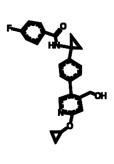 O=C(NC1(c2ccc(-c3cnc(OC4CC4)cc3CO)cc2)CC1)c1ccc(F)cc1